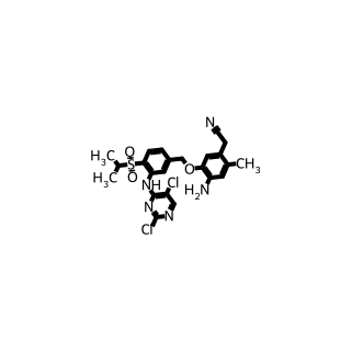 Cc1cc(N)c(OCc2ccc(S(=O)(=O)C(C)C)c(Nc3nc(Cl)ncc3Cl)c2)cc1CC#N